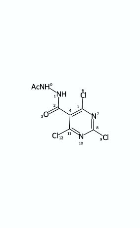 CC(=O)NNC(=O)c1c(Cl)nc(Cl)nc1Cl